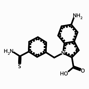 NC(=S)c1cccc(Cn2c(C(=O)O)cc3cc(N)ccc32)c1